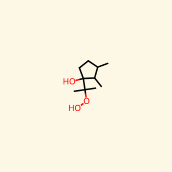 CC1CCC(O)(C(C)(C)OO)C1C